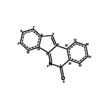 O=C1N=C2C(=Cc3ccccc32)c2ccccc21